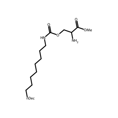 CCCCCCCCCCCCCCCCCCNC(=O)OCC(N)C(=O)OC